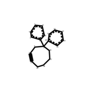 C1#CCC(c2ccccc2)(c2ccccc2)CCCC1